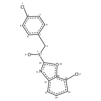 [O-][S+](Cc1ccc(Cl)cc1)c1nc2cccc(Cl)c2o1